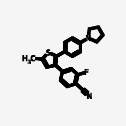 Cc1cc(-c2ccc(C#N)c(F)c2)c(-c2ccc(N3CCCC3)cc2)s1